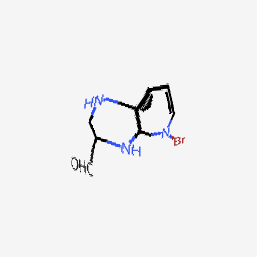 O=CC1CNC2=CC=CN(Br)C2N1